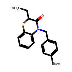 CCCCCCc1ccc(CN2C(=O)C(CC(=O)O)Sc3ccccc32)cc1